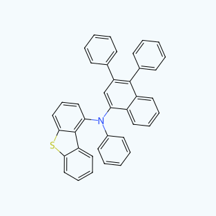 c1ccc(-c2cc(N(c3ccccc3)c3cccc4sc5ccccc5c34)c3ccccc3c2-c2ccccc2)cc1